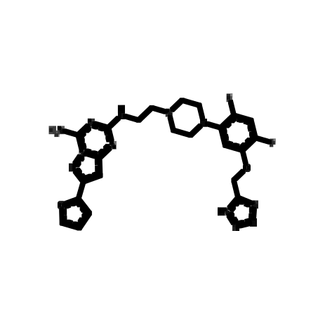 Nc1nc(NCCN2CCN(c3cc(OCc4nnn[nH]4)c(F)cc3F)CC2)nc2cc(-c3ccco3)nn12